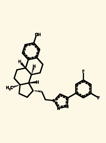 C[C@@]12CC[C@@H](CCn3cc(-c4cc(F)cc(F)c4)nn3)[C@H]1[C@@H]1CCc3cc(O)ccc3[C@H]1CC2